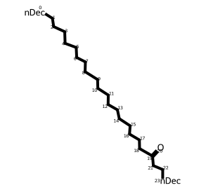 CCCCCCCCCCCCCCCCCCCCCCCCCCCCC(=O)CCCCCCCCCCCC